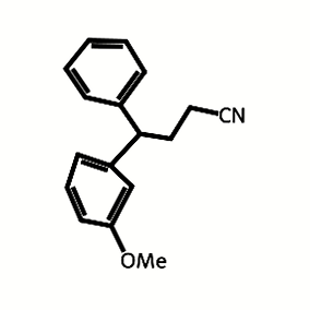 COc1cccc(C(CCC#N)c2ccccc2)c1